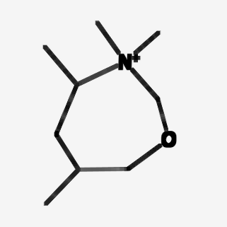 CC1COC[N+](C)(C)C(C)C1